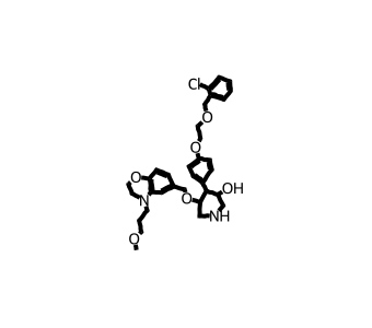 COCCCN1CCOc2ccc(COC3CNCC(O)C3c3ccc(OCCOCc4ccccc4Cl)cc3)cc21